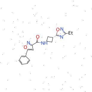 CCc1noc([C@H]2C[C@@H](NC(=O)c3cc(-c4ccccc4)on3)C2)n1